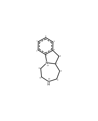 c1ccc2c(c1)CC1CCNCCN21